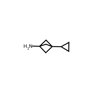 NC12CC(C3CC3)(C1)C2